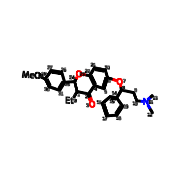 CCC1C(=O)c2cc(OC(CCN(C)C)c3ccccc3)ccc2OC1c1ccc(OC)cc1